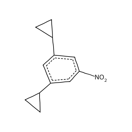 O=[N+]([O-])c1cc(C2CC2)cc(C2CC2)c1